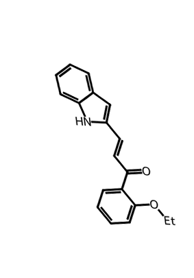 CCOc1ccccc1C(=O)C=Cc1cc2ccccc2[nH]1